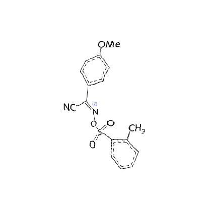 COc1ccc(/C(C#N)=N/OS(=O)(=O)c2ccccc2C)cc1